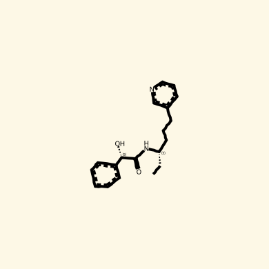 CC[C@@H](CCCc1cccnc1)NC(=O)[C@@H](O)c1ccccc1